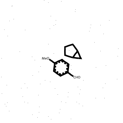 C1CC2CC2C1.COc1ccc(C=O)cc1